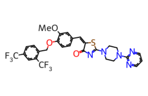 COc1cc(/C=C2/SC(N3CCN(c4ncccn4)CC3)=NC2=O)ccc1OCc1ccc(C(F)(F)F)cc1C(F)(F)F